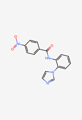 O=C(Nc1ccccc1-n1ccnc1)c1ccc([N+](=O)[O-])cc1